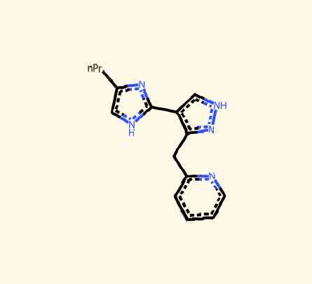 CCCc1c[nH]c(-c2c[nH]nc2Cc2ccccn2)n1